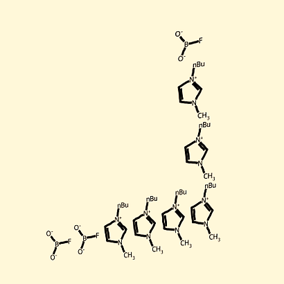 CCCC[n+]1ccn(C)c1.CCCC[n+]1ccn(C)c1.CCCC[n+]1ccn(C)c1.CCCC[n+]1ccn(C)c1.CCCC[n+]1ccn(C)c1.CCCC[n+]1ccn(C)c1.[O-]B([O-])F.[O-]B([O-])F.[O-]B([O-])F